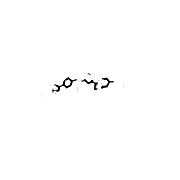 Cn1cc(-c2ccc(CNc3cc(-c4cnc5cc(CC=O)ccn45)ncn3)cc2)cn1